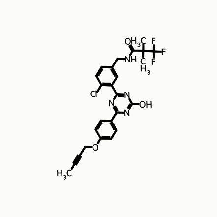 CC#CCOc1ccc(-c2nc(O)nc(-c3cc(CNC(=O)C(C)(C)C(F)(F)F)ccc3Cl)n2)cc1